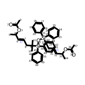 CC(=O)OC(C)/C=C/CC(C)(C)[Si](O[Si](c1ccccc1)(c1ccccc1)C(C)(C)C/C=C/C(C)OC(C)=O)(c1ccccc1)c1ccccc1